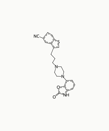 N#Cc1ccc2scc(CCCN3CCN(c4cccc5[nH]c(=O)oc45)CC3)c2c1